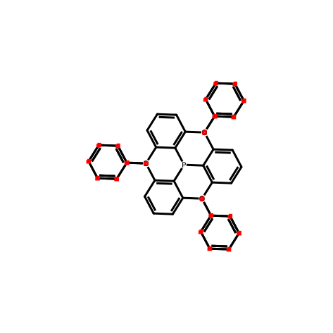 c1ccc(Oc2cccc(Oc3ccccc3)c2P(c2c(Oc3ccccc3)cccc2Oc2ccccc2)c2c(Oc3ccccc3)cccc2Oc2ccccc2)cc1